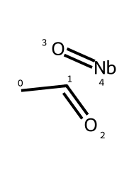 CC=O.[O]=[Nb]